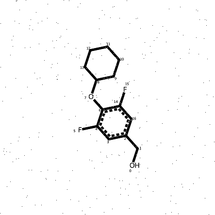 OCc1cc(F)c(OC2CCCCC2)c(F)c1